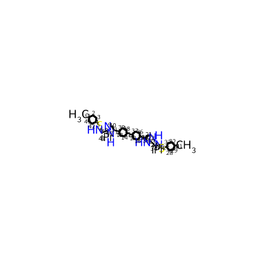 Cc1ccc(SNC(c2ncc(-c3ccc(-c4ccc(-c5cnc([C@@H](NSc6ccc(C)cc6)C(C)C)[nH]5)cc4)cc3)[nH]2)C(C)C)cc1